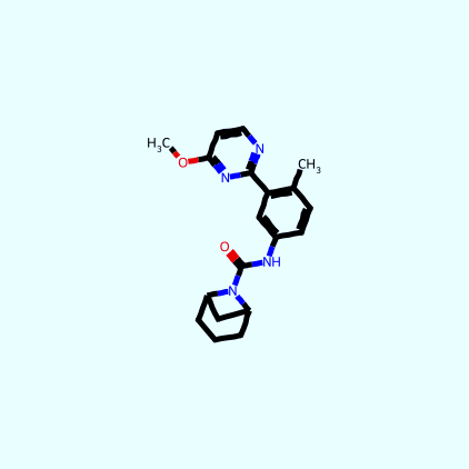 COc1ccnc(-c2cc(NC(=O)N3C4CCCC3C4)ccc2C)n1